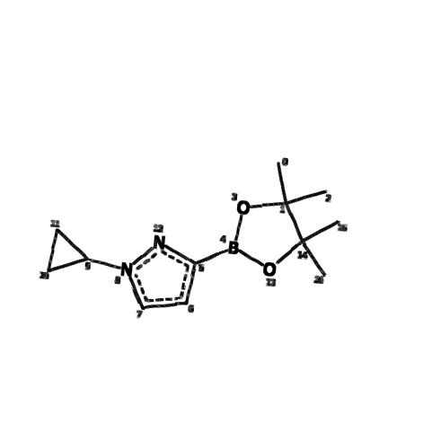 CC1(C)OB(c2ccn(C3CC3)n2)OC1(C)C